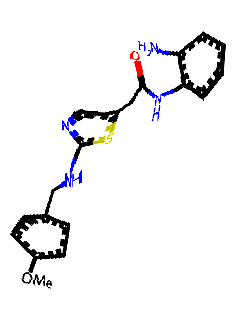 COc1ccc(CNc2ncc(C(=O)Nc3ccccc3N)s2)cc1